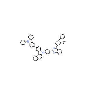 CC1(C)c2ccccc2-c2ccc(-c3nc(-c4ccc(-n5c6ccc(-c7ccc8c(c7)c7ccccc7n8-c7ccccc7)cc6c6c7ccccc7ccc65)cc4)nc4ccccc34)cc21